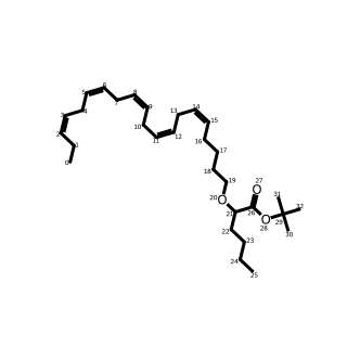 CC/C=C\C/C=C\C/C=C\C/C=C\C/C=C\CCCCOC(CCCC)C(=O)OC(C)(C)C